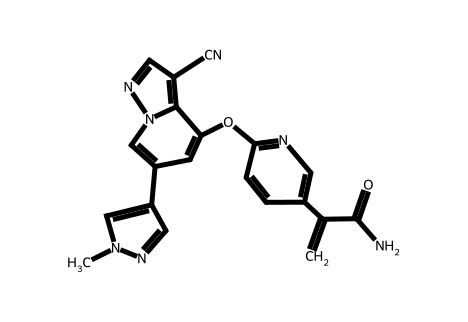 C=C(C(N)=O)c1ccc(Oc2cc(-c3cnn(C)c3)cn3ncc(C#N)c23)nc1